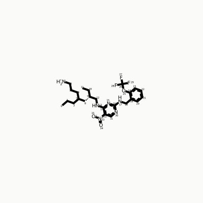 CCCC(CCCN)C[C@H](CC)CNc1nc(NCc2ccccc2OC(F)(F)F)ncc1[N+](=O)[O-]